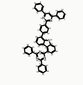 c1ccc(-c2cc(-c3ccccc3)nc(-c3ccc(-c4cccc5c4sc4cccc(-c6nc(-c7ccccc7)nc(-c7ccccc7)n6)c45)cc3)n2)cc1